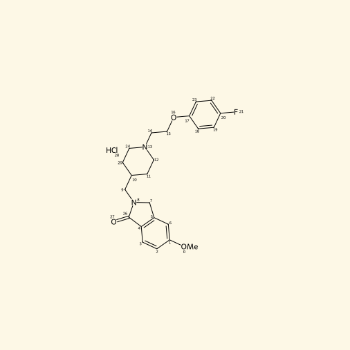 COc1ccc2c(c1)CN(CC1CCN(CCOc3ccc(F)cc3)CC1)C2=O.Cl